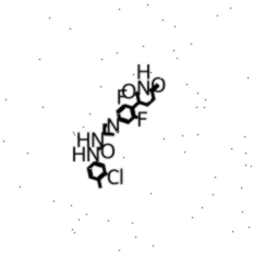 Cc1ccc(NC(=O)NC2CN(c3cc(F)c(C4CCC(=O)NC4=O)c(F)c3)C2)cc1Cl